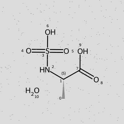 C[C@H](NS(=O)(=O)O)C(=O)O.O